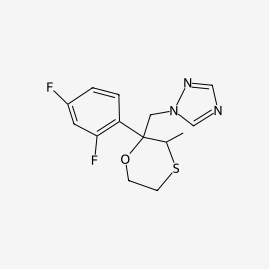 CC1SCCOC1(Cn1cncn1)c1ccc(F)cc1F